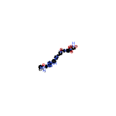 Cc1cccc(C(=O)NC2CC(n3cnc4c(Nc5ccc(N6CCN(CCC7CCN(C(=O)C8CN(c9ccc%10c(c9)C(=O)N([C@H]9CCC(=O)NC9=O)C%10=O)C8)CC7)CC6)cc5)ncnc43)C2)n1